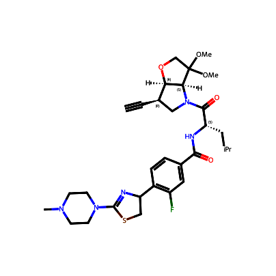 C#C[C@@H]1CN(C(=O)[C@H](CC(C)C)NC(=O)c2ccc(C3CSC(N4CCN(C)CC4)=N3)c(F)c2)[C@H]2[C@@H]1OCC2(OC)OC